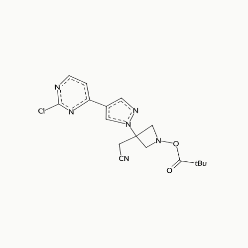 CC(C)(C)C(=O)ON1CC(CC#N)(n2cc(-c3ccnc(Cl)n3)cn2)C1